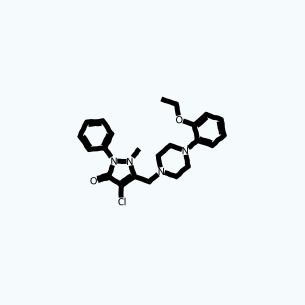 CCOc1ccccc1N1CCN(Cc2c(Cl)c(=O)n(-c3ccccc3)n2C)CC1